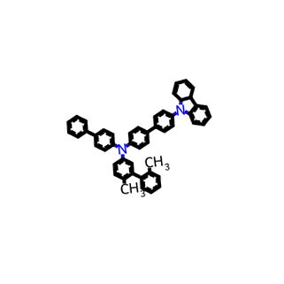 Cc1ccccc1-c1cc(N(c2ccc(-c3ccccc3)cc2)c2ccc(-c3ccc(N4c5ccccc5C5C=CC=CC54)cc3)cc2)ccc1C